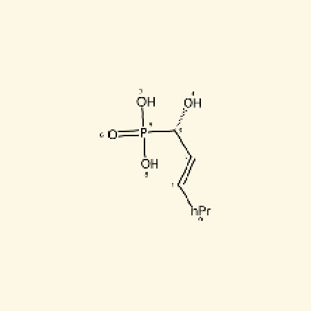 CCC/C=C/[C@@H](O)P(=O)(O)O